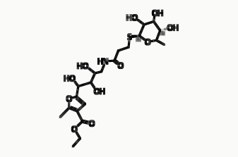 CCOC(=O)c1cc(C(O)C(O)C(O)CNC(=O)CCS[C@@H]2OC(C)[C@@H](O)C(O)C2O)oc1C